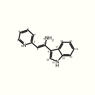 N/C(=C\c1ccccn1)c1c[nH]c2ccccc12